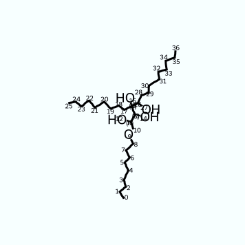 CCCCCCCCCOC[C@@H](O)[C@H](O)[C@](O)(CCCCCCCCC)C(O)CCCCCCCCC